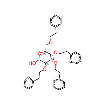 OC1O[C@H](COCCc2ccccc2)[C@H](OCCc2ccccc2)[C@H](OCCc2ccccc2)[C@H]1OCCc1ccccc1